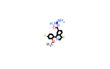 COc1cc(F)ccc1-c1ncc(F)c2ccc(C(=O)N=C(N)N)cc12